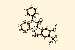 COc1cc2c(cc1C(F)(F)F)NCC2C(=O)N(c1ccccc1)c1cccnc1